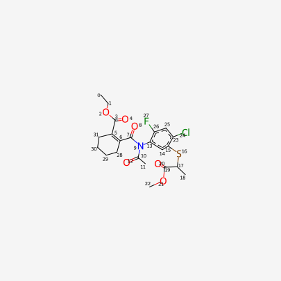 CCOC(=O)C1=C(C(=O)N(C(C)=O)c2cc(SC(C)C(=O)OC)c(Cl)cc2F)CCCC1